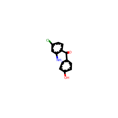 Nc1cc(Cl)ccc1C(=O)c1ccc(O)cc1